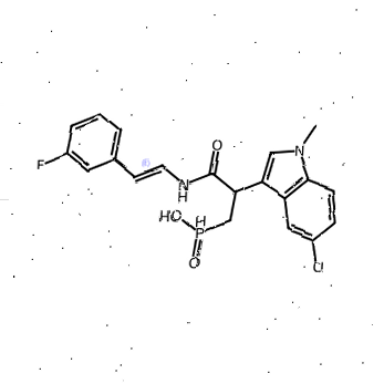 Cn1cc(C(C[PH](=O)O)C(=O)N/C=C/c2cccc(F)c2)c2cc(Cl)ccc21